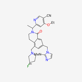 CCOc1cc(C(C)N2CCc3c(CN4CC[C@@H](F)C4)cc(Cn4ccnc4NC)cc3C2=O)ncc1C#N